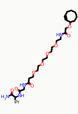 CC(C)C(NC(=O)CNC(=O)CCOCCOCCOCCOCCNC(=O)COC1C#CCCCCC1)C(N)=O